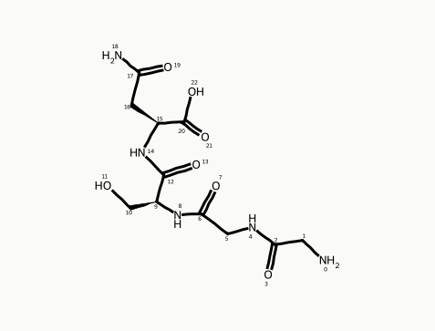 NCC(=O)NCC(=O)N[C@@H](CO)C(=O)N[C@@H](CC(N)=O)C(=O)O